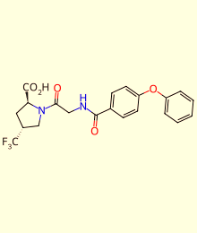 O=C(NCC(=O)N1C[C@H](C(F)(F)F)C[C@H]1C(=O)O)c1ccc(Oc2ccccc2)cc1